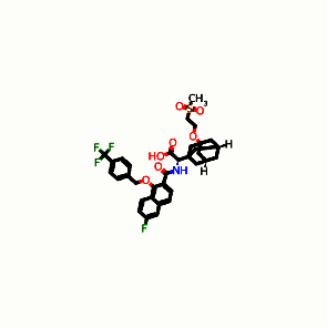 CS(=O)(=O)CCOC12C[C@H]3C[C@@H](C1)CC([C@H](NC(=O)c1ccc4cc(F)ccc4c1OCc1ccc(C(F)(F)F)cc1)C(=O)O)(C3)C2